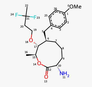 COc1ccc(C[C@H]2CCC[C@H](N)C(=O)O[C@@H](C)[C@@H]2OCCC(C)(F)F)cc1